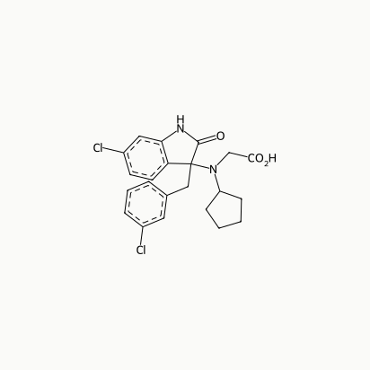 O=C(O)CN(C1CCCC1)C1(Cc2cccc(Cl)c2)C(=O)Nc2cc(Cl)ccc21